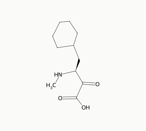 CN[C@@H](CC1CCCCC1)C(=O)C(=O)O